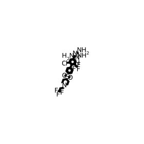 NC1=NC(N)(c2cc(Cl)c(-c3ccc(S(=O)(=O)C4CCN(CCC(F)(F)F)CC4)cc3)c(C(F)(F)F)c2)NN1